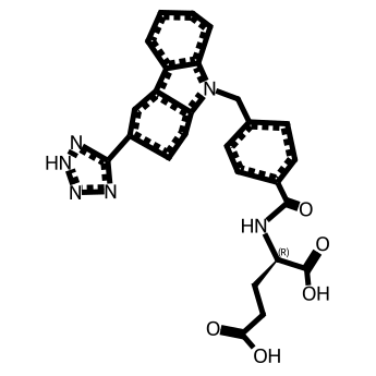 O=C(O)CC[C@@H](NC(=O)c1ccc(Cn2c3ccccc3c3cc(-c4nn[nH]n4)ccc32)cc1)C(=O)O